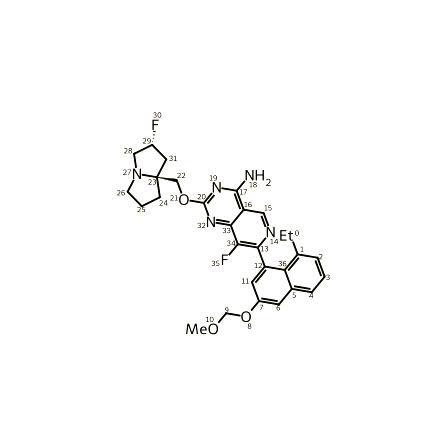 CCc1cccc2cc(OCOC)cc(-c3ncc4c(N)nc(OC[C@@]56CCCN5C[C@H](F)C6)nc4c3F)c12